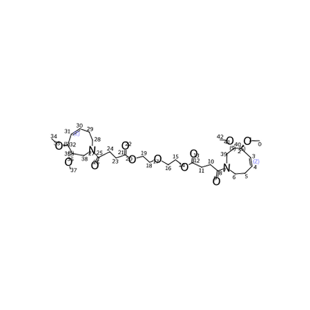 CO[C@H]1/C=C\CCN(C(=O)CCC(=O)OCCOCCOC(=O)CCC(=O)N2CC/C=C\[C@H](OC)[C@@H](OC)C2)C[C@@H]1OC